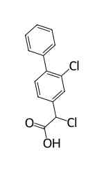 O=C(O)C(Cl)c1ccc(-c2ccccc2)c(Cl)c1